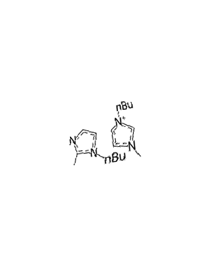 CCCC[n+]1ccn(C)c1.CCCCn1ccnc1C